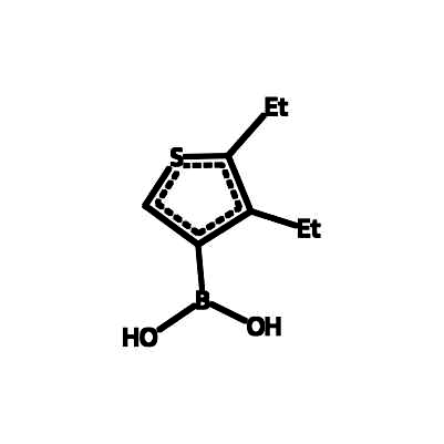 CCc1scc(B(O)O)c1CC